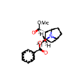 [2H]C([2H])([2H])N1C2CCC1[C@@H](C(=O)OC)[C@@H](OC(=O)c1ccccc1)C2